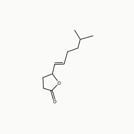 CC(C)CCC=CC1CCC(=O)O1